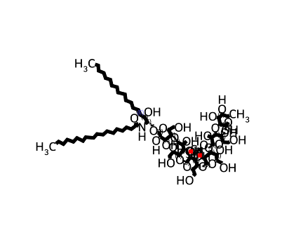 CCCCCCCCCCCCC/C=C/[C@@H](O)[C@H](CO[C@@H]1OC(CO)[C@@H](O[C@@H]2OC(CO)[C@H](O[C@@H]3OC(CO)[C@H](O[C@@H]4OC(CO)[C@H](O)[C@H](O[C@@H]5OC(CO)[C@H](O)[C@H](O[C@H]6C(O)[C@H](O)C(C)O[C@H]6O)C5O)C4NC(C)=O)[C@H](O)C3O)[C@H](O)C2O)[C@H](O)C1O)NC(=O)CCCCCCCCCCCCCCCCC